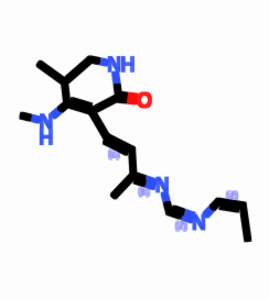 C\C=C/N=C\N=C(C)\C=C\C1=C(NC)C(C)CNC1=O